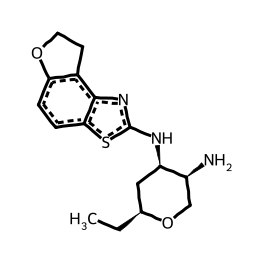 CC[C@H]1C[C@@H](Nc2nc3c4c(ccc3s2)OCC4)[C@@H](N)CO1